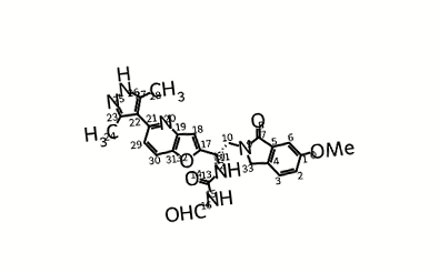 COc1ccc2c(c1)C(=O)N(C[C@H](NC(=O)NC=O)c1cc3nc(-c4c(C)n[nH]c4C)ccc3o1)C2